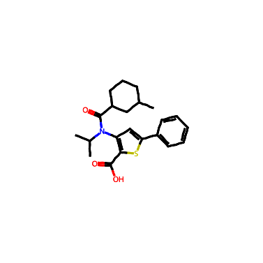 CC1CCCC(C(=O)N(c2cc(-c3ccccc3)sc2C(=O)O)C(C)C)C1